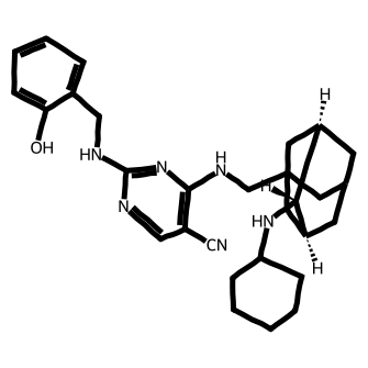 N#Cc1cnc(NCc2ccccc2O)nc1NCC12CC3C[C@H](C1)[C@@H](NC1CCCCC1)[C@@H](C3)C2